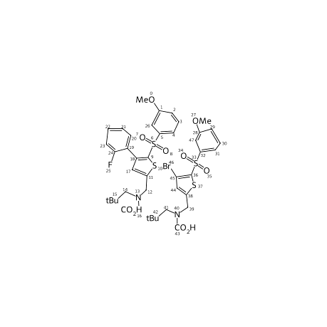 COc1cccc(S(=O)(=O)c2sc(CN(CC(C)(C)C)C(=O)O)cc2-c2ccccc2F)c1.COc1cccc(S(=O)(=O)c2sc(CN(CC(C)(C)C)C(=O)O)cc2Br)c1